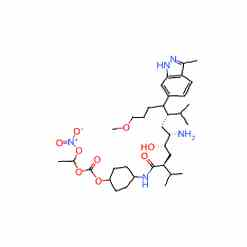 COCCCC(c1ccc2c(C)n[nH]c2c1)[C@@H](C[C@H](N)[C@@H](O)C[C@H](C(=O)NC1CCC(OC(=O)OC(C)O[N+](=O)[O-])CC1)C(C)C)C(C)C